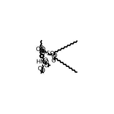 CCCCCCCCCCCCCCCC(=O)OC[C@H](CSCCS(=O)(=O)N(Cc1ccc(C(=O)N[C@@H](CCC(=O)OC(C)(C)C)C(=O)OC(C)(C)C)cc1)C(=O)OCCCC)OC(=O)CCCCCCCCCCCCCCC